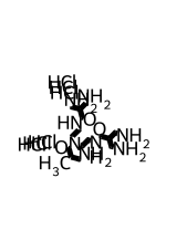 CC(CN)C(=O)N(CCNC(=O)C(CN)CN)CCNC(=O)C(CN)CN.Cl.Cl.Cl.Cl.Cl.Cl